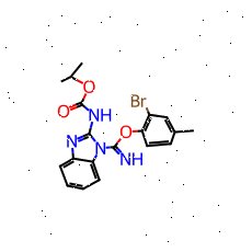 Cc1ccc(OC(=N)n2c(NC(=O)OC(C)C)nc3ccccc32)c(Br)c1